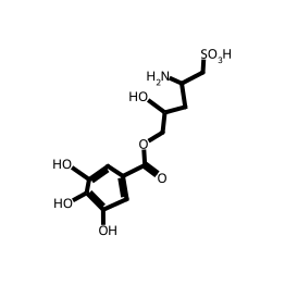 NC(CC(O)COC(=O)c1cc(O)c(O)c(O)c1)CS(=O)(=O)O